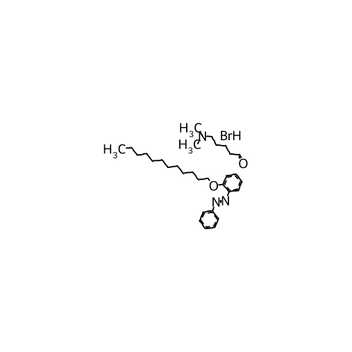 Br.CCCCCCCCCCCCOc1ccccc1N=Nc1ccccc1.CN(C)CCCCC=O